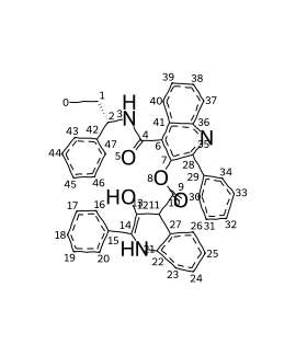 CC[C@H](NC(=O)c1c(OC(=O)C2C(O)=C(c3ccccc3)Nc3ccccc32)c(-c2ccccc2)nc2ccccc12)c1ccccc1